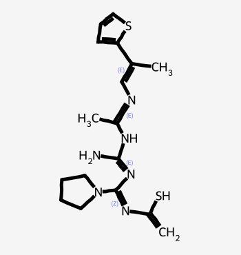 C=C(S)/N=C(\N=C(/N)N/C(C)=N/C=C(\C)c1cccs1)N1CCCC1